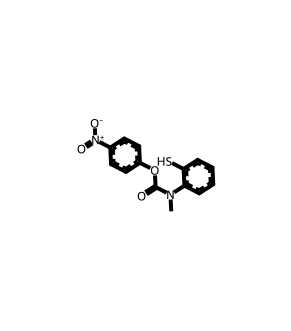 CN(C(=O)Oc1ccc([N+](=O)[O-])cc1)c1ccccc1S